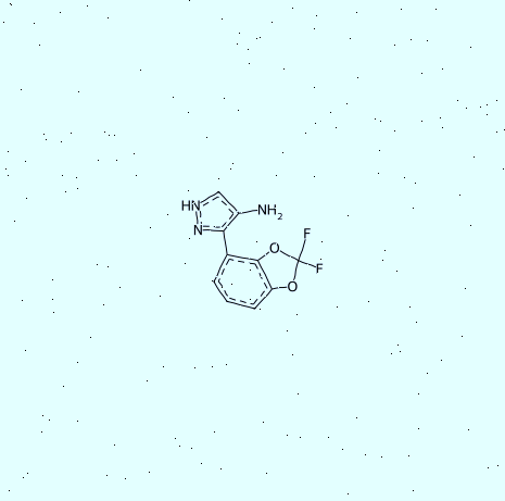 Nc1c[nH]nc1-c1cccc2c1OC(F)(F)O2